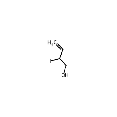 C=CC(I)CO